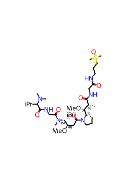 CC[C@H](C)[C@@H]([C@@H](CC(=O)N1CCC[C@H]1[C@H](OC)[C@@H](C)C(=O)NCC(=O)NCCC[SH](C)(C)=O)OC)N(C)C(=O)CNC(=O)C(C(C)C)N(C)C